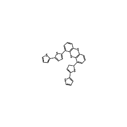 C1=C(c2cccs2)SC(c2cccc3c2Sc2c(cccc2-c2ccc(-c4cccs4)s2)S3)C1